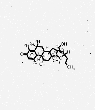 [2H]C1=CC(=O)C([2H])=C2C([2H])([2H])C[C@@H]3[C@H]([C@@H](O)C[C@@]4(C)[C@H]3C[C@H]3OC([2H])(CCC)O[C@]34C(=O)CO)[C@@]12C